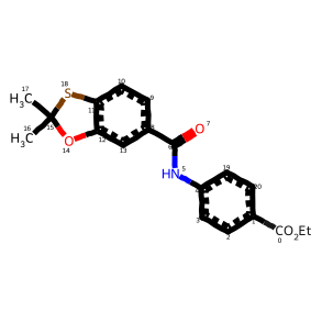 CCOC(=O)c1ccc(NC(=O)c2ccc3c(c2)OC(C)(C)S3)cc1